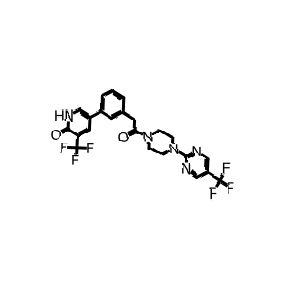 O=C(Cc1cccc(-c2c[nH]c(=O)c(C(F)(F)F)c2)c1)N1CCN(c2ncc(C(F)(F)F)cn2)CC1